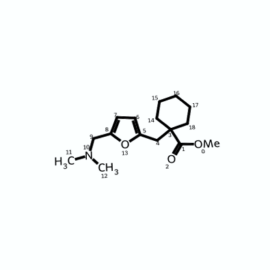 COC(=O)C1(Cc2ccc(CN(C)C)o2)CCCCC1